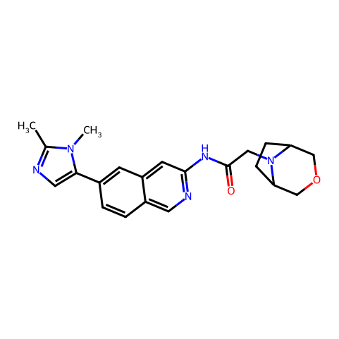 Cc1ncc(-c2ccc3cnc(NC(=O)CN4C5CCC4COC5)cc3c2)n1C